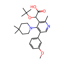 COc1cccc(-c2cnc(C)c(C(OC(C)(C)C)C(=O)O)c2N2CCC(C)(C)CC2)c1